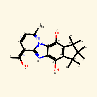 C/C(O)=C(\C=C/C(=N)C(C)(C)C)c1nc2c(O)c3c(c(O)c2[nH]1)C(C)(C)C(C)(C)C3(C)C